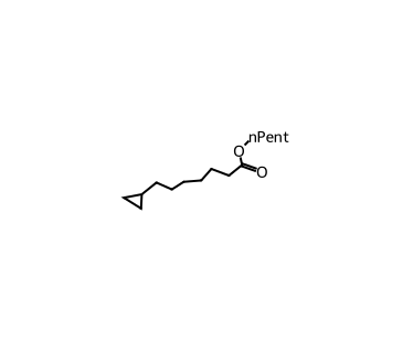 CCCCCOC(=O)CCCCCCC1CC1